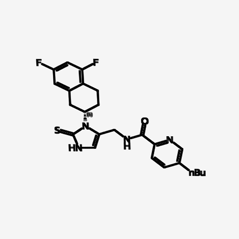 CCCCc1ccc(C(=O)NCc2c[nH]c(=S)n2[C@H]2CCc3c(F)cc(F)cc3C2)nc1